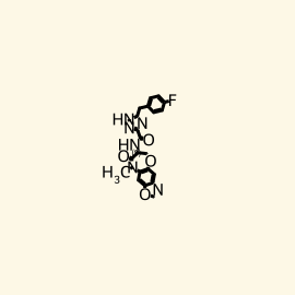 CN1C(=O)[C@@H](NC(=O)c2n[nH]c(Cc3ccc(F)cc3)n2)COc2cc3ncoc3cc21